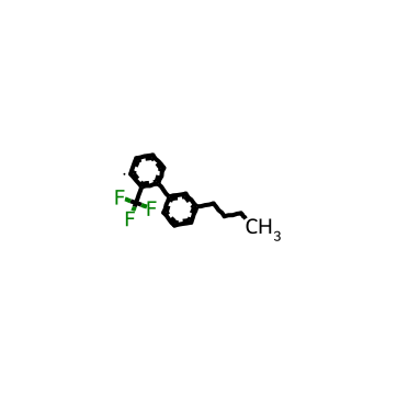 CCCCc1cccc(-c2ccc[c]c2C(F)(F)F)c1